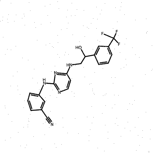 N#Cc1cccc(Nc2nccc(NCC(O)c3cccc(C(F)(F)F)c3)n2)c1